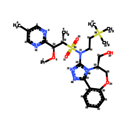 Cc1cnc([C@H](OC(C)C)[C@H](C)S(=O)(=O)N(CCS(C)(C)C)c2nnc3n2[C@@H](CO)COc2ccccc2-3)nc1